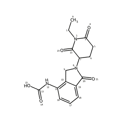 CCN1C(=O)CCC(N2Cc3c(NC(=O)O)cccc3C2=O)C1=O